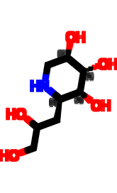 OCC(O)C[C@H]1NC[C@@H](O)[C@H](O)[C@H]1O